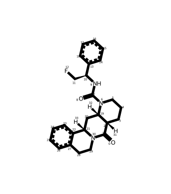 O=C1[C@H]2CCCN(C(=O)N[C@@H](CF)c3ccccc3)[C@H]2C[C@H]2c3ccccc3CCN12